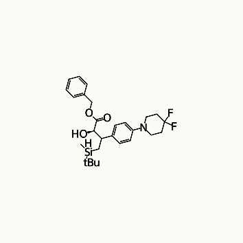 C[SiH](CC(c1ccc(N2CCC(F)(F)CC2)cc1)[C@@H](O)C(=O)OCc1ccccc1)C(C)(C)C